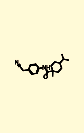 CC(C)C1CCC(C)(C(=O)Nc2ccc(CC#N)cc2)CC1